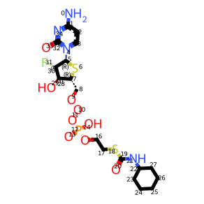 Nc1ccn([C@@H]2S[C@H](COOOP(=O)(O)OCCSC(=O)NC3CCCCC3)[C@@H](O)[C@@H]2F)c(=O)n1